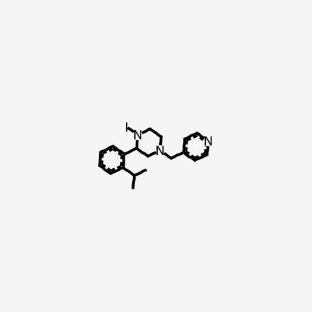 CC(C)c1ccccc1C1CN(Cc2ccncc2)CCN1I